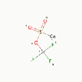 O=[S](=O)([Ce])OC(F)(F)F